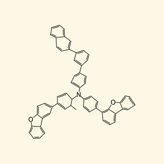 CC1C=C(c2ccc3oc4ccccc4c3c2)C=CC1N(c1ccc(-c2cccc(-c3ccc4ccccc4c3)c2)cc1)c1ccc(-c2cccc3c2oc2ccccc23)cc1